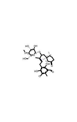 CO[C@H]1[C@H](O)[C@@H](O)[C@H](OC(C[C@@]2(C)[C@H](C)CCC(=O)[C@@H]2C)/C(C)=C/Cc2c(O)c(Cl)c(C)c(C=O)c2O)O[C@@H]1CO